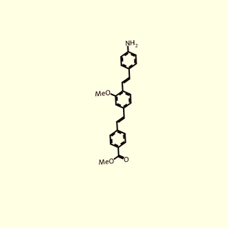 COC(=O)c1ccc(C=Cc2ccc(C=Cc3ccc(N)cc3)c(OC)c2)cc1